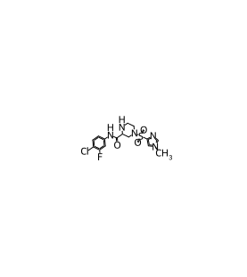 Cn1cnc(S(=O)(=O)N2CCNC(C(=O)Nc3ccc(Cl)c(F)c3)C2)c1